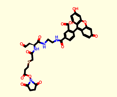 O=CC[C@H](NC(=O)CSCCC(=O)ON1C(=O)CCC1=O)C(=O)NCCNC(=O)c1ccc(-c2c3ccc(=O)cc-3oc3cc(O)ccc23)c(C(=O)O)c1